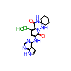 Cl.O=C1NC2(CCCCC2)Nn2c1c(Cl)cc(Nc1ncnc3[nH]ccc13)c2=O